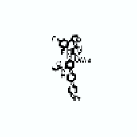 C=CC(=O)Nc1cc(Nc2cc(N3OCCC3c3cc(F)cc(Cl)c3)ncn2)c(OC)cc1N1CCC(N2CCN(C(C)C)CC2)CC1